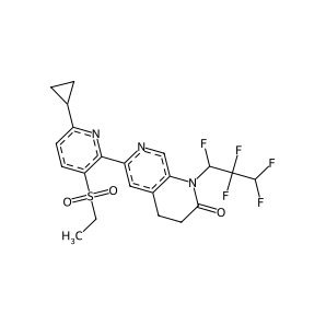 CCS(=O)(=O)c1ccc(C2CC2)nc1-c1cc2c(cn1)N(C(F)C(F)(F)C(F)F)C(=O)CC2